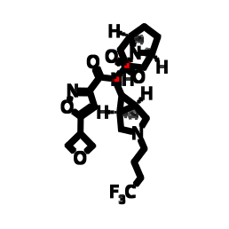 O=C(NC1C[C@H]2CC[C@@H](C1)N2S(=O)(=O)CC1[C@H]2CN(CCCC(F)(F)F)C[C@@H]12)c1cc(C2COC2)on1